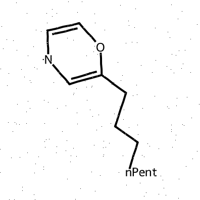 CCCCCCCCC1=C[N]C=CO1